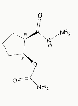 NNC(=O)[C@@H]1CCC[C@@H]1OC(N)=O